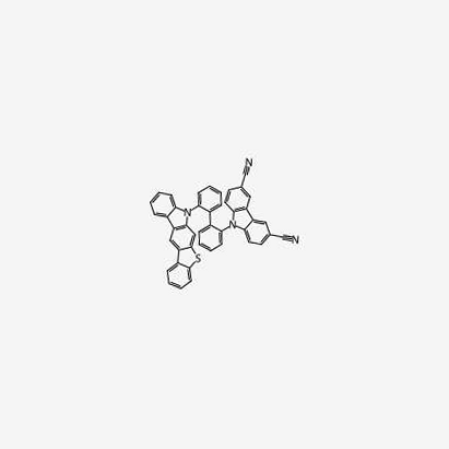 N#Cc1ccc2c(c1)c1cc(C#N)ccc1n2-c1ccccc1-c1ccccc1-n1c2ccccc2c2cc3c(cc21)sc1ccccc13